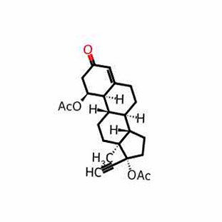 C#C[C@]1(OC(C)=O)CC[C@H]2[C@@H]3CCC4=CC(=O)C[C@H](OC(C)=O)[C@@H]4[C@H]3CC[C@@]21C